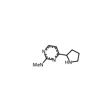 CNc1nccc(C2CCCN2)n1